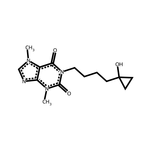 Cn1cnc2c1c(=O)n(CCCCC1(O)CC1)c(=O)n2C